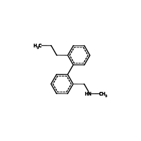 CCCc1ccccc1-c1ccccc1CNC